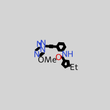 CCC1=CC(C(=O)Nc2cccc(C#Cc3nnc4cnc(OC)cn34)c2)=CC1